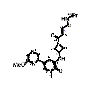 COc1cncc(-c2c[nH]c(=O)c(NC3CN(C(=O)/C=C/CNC(C)C)C3)c2)n1